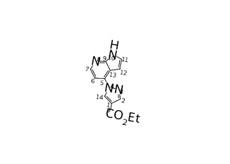 CCOC(=O)c1cnn(-c2ccnc3[nH]ccc23)c1